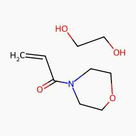 C=CC(=O)N1CCOCC1.OCCO